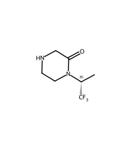 C[C@@H](N1CCNCC1=O)C(F)(F)F